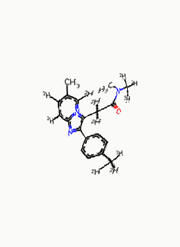 [2H]c1c(C)c([2H])n2c(C([2H])([2H])C(=O)N(C)C([2H])([2H])[2H])c(-c3ccc(C([2H])([2H])[2H])cc3)nc2c1[2H]